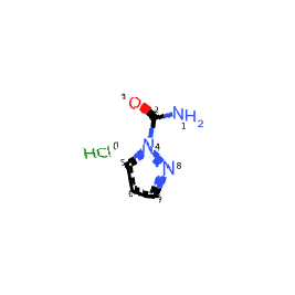 Cl.NC(=O)n1cccn1